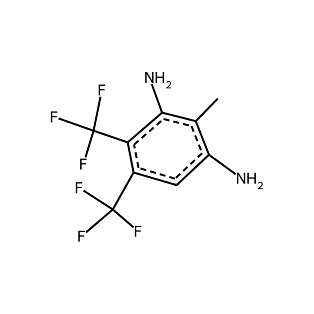 Cc1c(N)cc(C(F)(F)F)c(C(F)(F)F)c1N